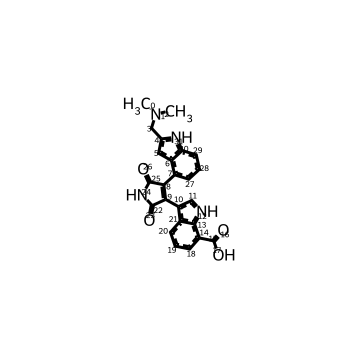 CN(C)Cc1cc2c(C3=C(c4c[nH]c5c(C(=O)O)cccc45)C(=O)NC3=O)cccc2[nH]1